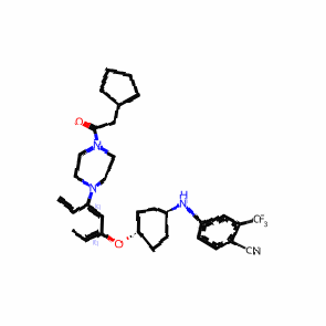 C=C/C(=C\C(=C/C)O[C@H]1CC[C@H](Nc2ccc(C#N)c(C(F)(F)F)c2)CC1)N1CCN(C(=O)CC2CCCC2)CC1